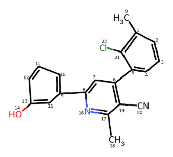 Cc1cccc(-c2cc(-c3cccc(O)c3)nc(C)c2C#N)c1Cl